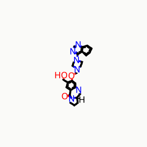 O=C1c2cc(CO)c(OCN3CCN(c4ncnc5ccccc45)CC3)cc2N=C[C@@H]2CCCN12